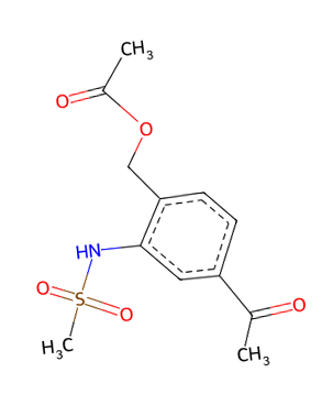 CC(=O)OCc1ccc(C(C)=O)cc1NS(C)(=O)=O